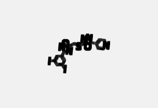 Ic1cc(I)cc(-c2noc(CSc3nnc(-c4ccncc4)o3)n2)c1